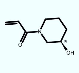 C=CC(=O)N1CCC[C@@H](O)C1